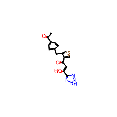 CC(=O)c1ccc(Cc2cscc2C(=O)C=C(O)c2nn[nH]n2)cc1